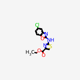 CCOC(=O)c1csc(Nc2nc3cc(Cl)ccc3o2)n1